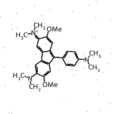 COC1=CC2=C(c3ccc(N(C)C)cc3)c3cc(OC)c(N(C)C)cc3C2=CC1=[N+](C)C